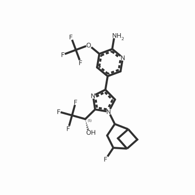 Nc1ncc(-c2cn(C3CC(F)C4CC3C4)c([C@H](O)C(F)(F)F)n2)cc1OC(F)(F)F